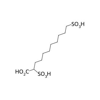 O=C(O)C(CCCCCCCCCS(=O)(=O)O)S(=O)(=O)O